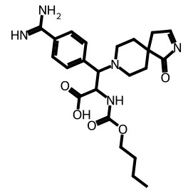 CCCCOC(=O)NC(C(=O)O)C(c1ccc(C(=N)N)cc1)N1CCC2(CC=NC2=O)CC1